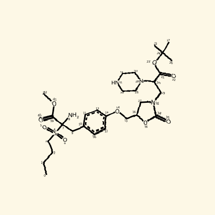 CCCCS(=O)(=O)C(N)(Cc1ccc(OCC2CN(CC(C(=O)OC(C)(C)C)N3CCNCC3)C(=O)O2)cc1)C(=O)OC